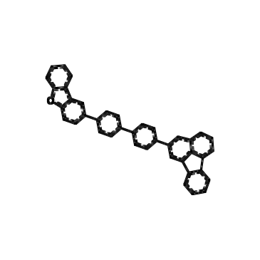 c1ccc2c(c1)-c1cccc3cc(-c4ccc(-c5ccc(-c6ccc7oc8ccccc8c7c6)cc5)cc4)cc-2c13